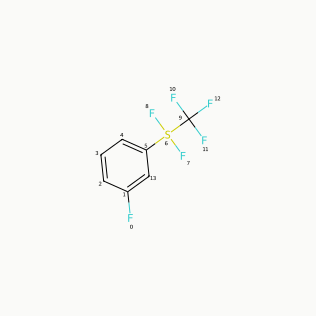 Fc1cccc(S(F)(F)C(F)(F)F)c1